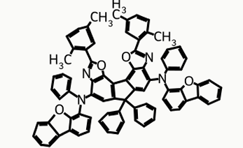 Cc1ccc(C)c(-c2nc3c(N(c4ccccc4)c4cccc5c4oc4ccccc45)cc4c(c3o2)-c2c(cc(N(c3ccccc3)c3cccc5c3oc3ccccc35)c3nc(-c5cc(C)ccc5C)oc23)C4(c2ccccc2)c2ccccc2)c1